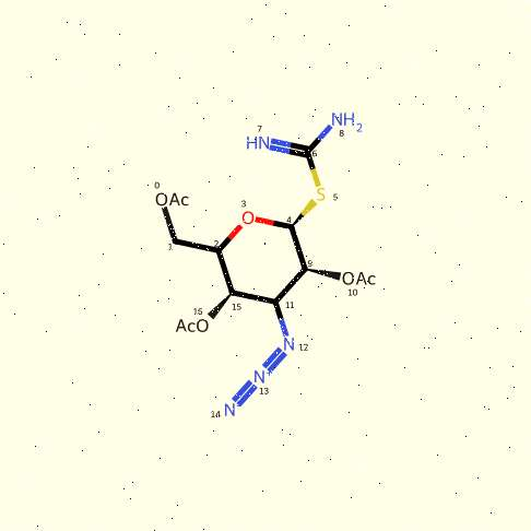 CC(=O)OCC1O[C@@H](SC(=N)N)[C@@H](OC(C)=O)C(N=[N+]=[N-])[C@H]1OC(C)=O